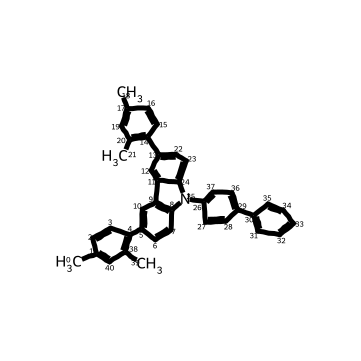 Cc1ccc(-c2ccc3c(c2)c2cc(-c4ccc(C)cc4C)ccc2n3-c2ccc(-c3ccccc3)cc2)c(C)c1